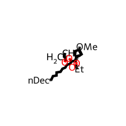 C=C(C)C(=O)OC(CCCCCCCCCCCCCCCCCCC)C(OC(=O)CC)c1ccc(OC)cc1